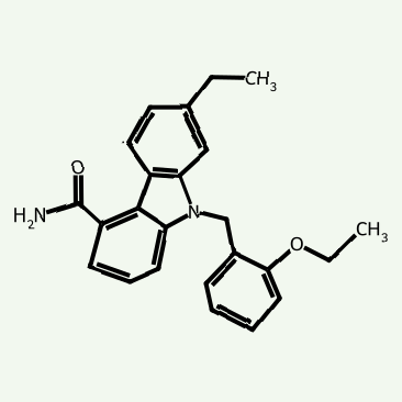 CCOc1ccccc1Cn1c2cc(CC)c[c]c2c2c(C(N)=O)cccc21